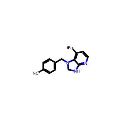 CCC(C)c1ccnc2c1N(Cc1ccc(C#N)cc1)CN2